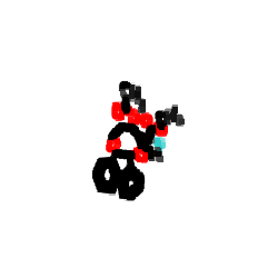 COC(=O)[C@]1(F)C2[C@H]1O[C@@H](c1ccccc1)[C@H](c1ccccc1)OCC[C@H]2OC(C)=O